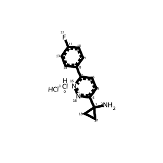 Cl.Cl.NC1(c2ccc(-c3ccc(F)cc3)nn2)CC1